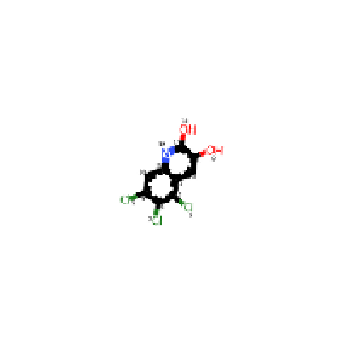 Oc1cc2c(Cl)c(Cl)c(Cl)cc2nc1O